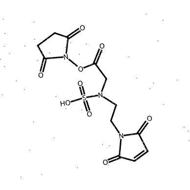 O=C(CN(CCN1C(=O)C=CC1=O)S(=O)(=O)O)ON1C(=O)CCC1=O